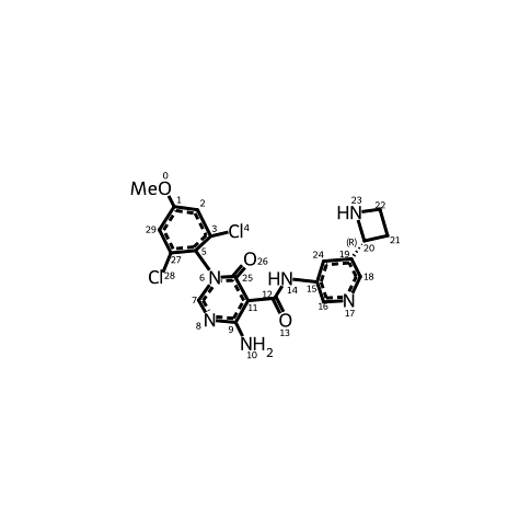 COc1cc(Cl)c(-n2cnc(N)c(C(=O)Nc3cncc([C@H]4CCN4)c3)c2=O)c(Cl)c1